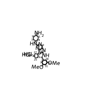 COc1cc(CNc2nc3cnc(N[C@H]4CC[C@H](N)CC4)nc3n2C2CCCC2)cc(OC)c1.Cl.Cl